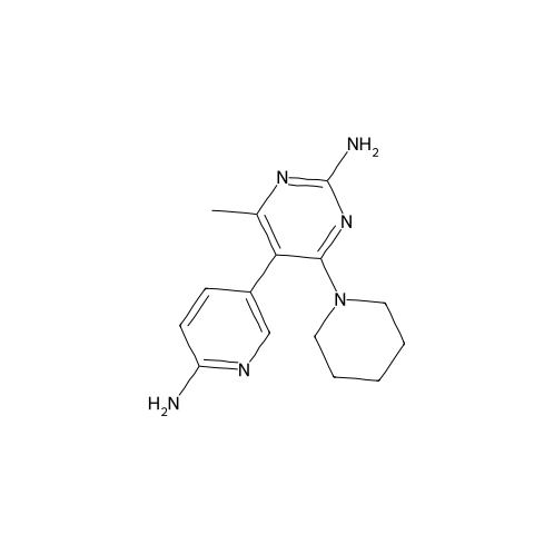 Cc1nc(N)nc(N2CCCCC2)c1-c1ccc(N)nc1